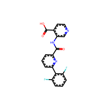 O=C(Nc1cnccc1C(=O)O)c1cccc(-c2c(F)cccc2F)n1